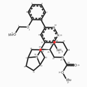 COCOc1ccccc1-c1cc(N2CC3CCC(C2)N3C[C@@H]2CN(C(=O)OC(C)(C)C)CCO2)c(N)nn1